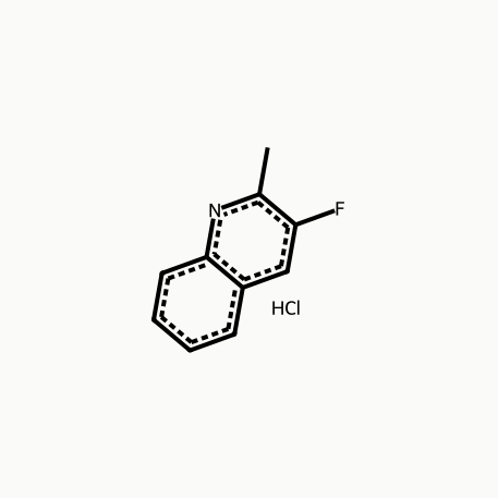 Cc1nc2ccccc2cc1F.Cl